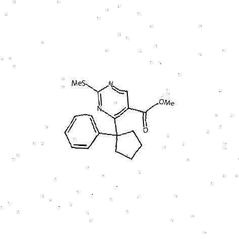 COC(=O)c1cnc(SC)nc1C1(c2ccccc2)CCCC1